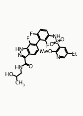 CCc1cnc(OC)c(S(=O)(=O)Nc2ccc(F)c(-c3ccc4c(C(=O)NCC(C)O)n[nH]c4c3F)c2F)c1